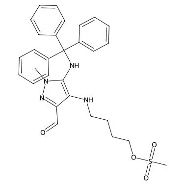 Cn1nc(C=O)c(NCCCCOS(C)(=O)=O)c1NC(c1ccccc1)(c1ccccc1)c1ccccc1